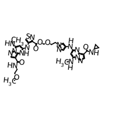 CNc1cc(Nc2csnc2C(=O)OCOCCn2cc(Nc3cc(NC)n4ncc(C(=O)NC5CC5)c4n3)cn2)nc2c(C(=O)NCCOC)cnn12